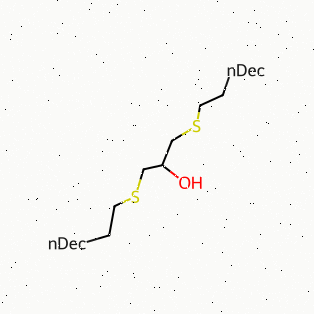 CCCCCCCCCCCCSCC(O)CSCCCCCCCCCCCC